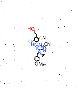 COc1ccc(CN(c2nc(Nc3cc(C#N)c(CCCO)cc3Cl)nn3c(C#N)cnc23)C2CC2)cc1